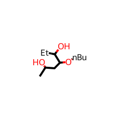 CCCCOC(CC(C)O)C(O)CC